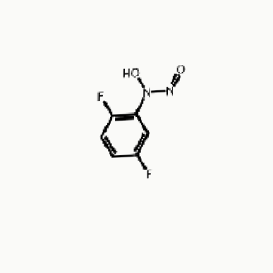 O=NN(O)c1cc(F)ccc1F